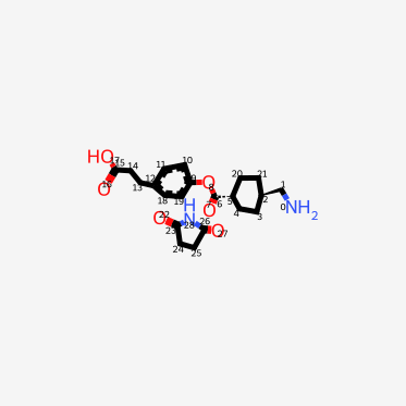 NC[C@H]1CC[C@H](C(=O)Oc2ccc(CCC(=O)O)cc2)CC1.O=C1CCC(=O)N1